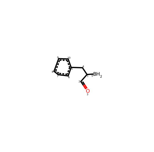 BC(C=O)Cc1ccccc1